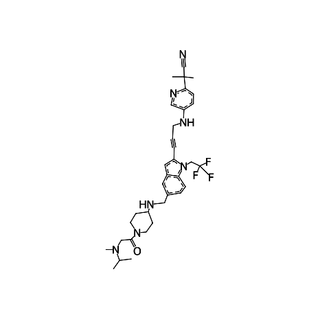 CC(C)N(C)CC(=O)N1CCC(NCc2ccc3c(c2)cc(C#CCNc2ccc(C(C)(C)C#N)nc2)n3CC(F)(F)F)CC1